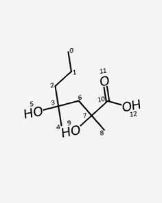 CCCC(C)(O)CC(C)(O)C(=O)O